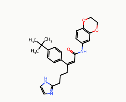 CC(C)(C)c1ccc(/C(=C\C(=O)Nc2ccc3c(c2)OCCO3)CCCc2ncc[nH]2)cc1